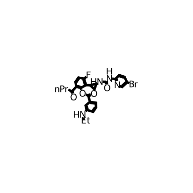 CCCC(=O)c1ccc(F)c(C2CC2NC(=O)Nc2ccc(Br)cn2)c1OC(=O)c1cccc(NCC)c1